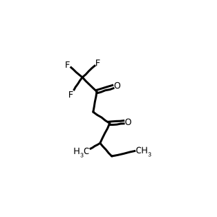 CCC(C)C(=O)CC(=O)C(F)(F)F